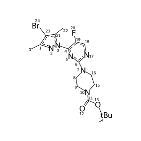 Cc1nn(-c2nc(N3CCN(C(=O)OC(C)(C)C)CC3)ncc2F)c(C)c1Br